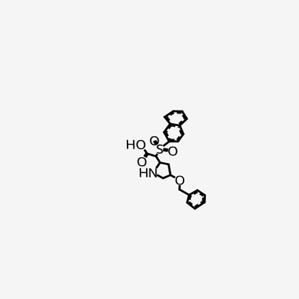 O=C(O)C(C1CC(OCc2ccccc2)CN1)S(=O)(=O)c1ccc2ccccc2c1